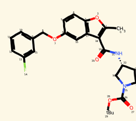 Cc1oc2ccc(OCc3cccc(F)c3)cc2c1C(=O)N[C@@H]1CCN(C(=O)OC(C)(C)C)C1